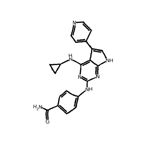 NC(=O)c1ccc(Nc2nc(NC3CC3)c3c(-c4ccncc4)c[nH]c3n2)cc1